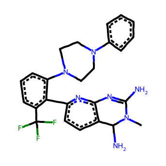 CN1C(N)=Nc2nc(-c3c(N4CCN(c5ccccc5)CC4)cccc3C(F)(F)F)ccc2C1N